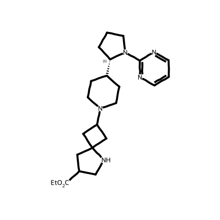 CCOC(=O)C1CNC2(C1)CC(N1CCC([C@@H]3CCCN3c3ncccn3)CC1)C2